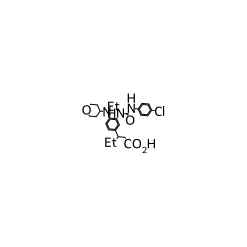 CCC(CC(=O)O)c1ccc(N(CC)C2CCOCC2)c(NC(=O)Nc2ccc(Cl)cc2)c1